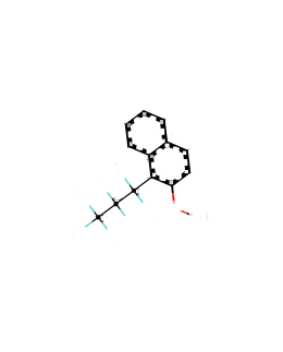 COc1ccc2ccccc2c1C(F)(F)C(F)(F)C(F)(F)F